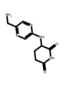 NCc1cnc(NC2CCC(=O)NC2=O)cn1